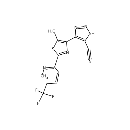 C/N=C(\C=C/CC(F)(F)F)c1nc(-c2nn[nH]c2C#N)c(C)s1